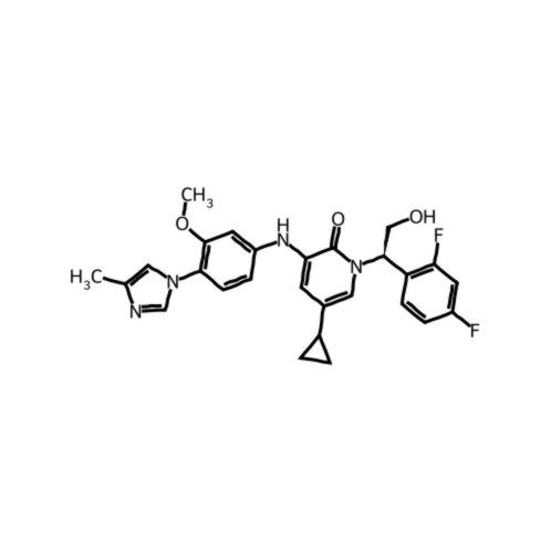 COc1cc(Nc2cc(C3CC3)cn([C@@H](CO)c3ccc(F)cc3F)c2=O)ccc1-n1cnc(C)c1